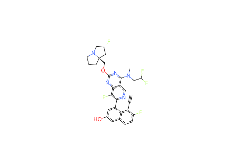 C#Cc1c(F)ccc2cc(O)cc(-c3ncc4c(N(C)CC(F)F)nc(OC[C@@]56CCCN5C[C@H](F)C6)nc4c3F)c12